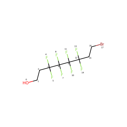 OCCC(F)(F)C(F)(F)C(F)(F)C(F)(F)CCBr